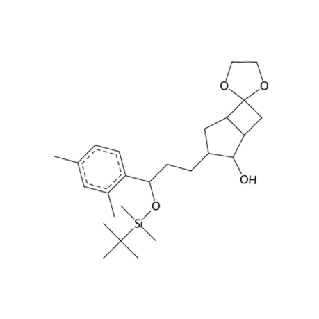 Cc1ccc(C(CCC2CC3C(CC34OCCO4)C2O)O[Si](C)(C)C(C)(C)C)c(C)c1